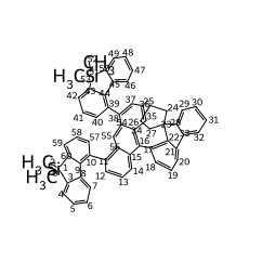 C[Si]1(C)c2ccccc2-c2c(-c3cccc4c(-c5cccc6c5C5(CCCC5)c5ccccc5-6)c5cccc(-c6cccc7c6-c6ccccc6[Si]7(C)C)c5cc34)cccc21